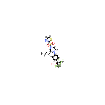 CC[C@H]1CN(S(=O)(=O)c2nccs2)CCN1c1ccc(C(O)(C(F)(F)F)C(F)(F)F)cc1